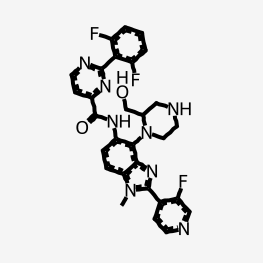 Cn1c(-c2ccncc2F)nc2c(N3CCNCC3CO)c(NC(=O)c3ccnc(-c4c(F)cccc4F)n3)ccc21